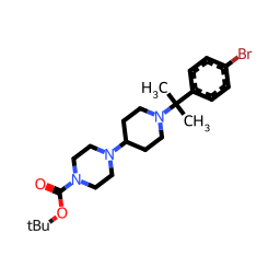 CC(C)(C)OC(=O)N1CCN(C2CCN(C(C)(C)c3ccc(Br)cc3)CC2)CC1